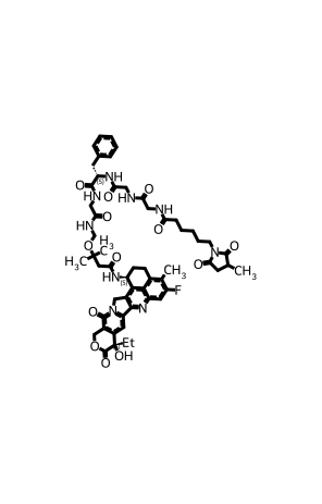 CC[C@@]1(O)C(=O)OCc2c1cc1n(c2=O)Cc2c-1nc1cc(F)c(C)c3c1c2[C@@H](NC(=O)CC(C)(C)OCNC(=O)CNC(=O)[C@H](Cc1ccccc1)NC(=O)CNC(=O)CNC(=O)CCCCCN1C(=O)CC(C)C1=O)CC3